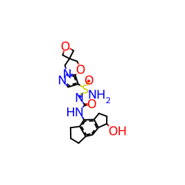 NS(=O)(=NC(=O)Nc1c2c(cc3c1CCC3O)CCC2)c1cnn2c1OCC1(COC1)C2